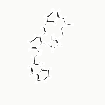 CC(CCc1nnn[nH]1)Cc1cccc(/C=C/c2cccc(OCc3ccc4ccccc4n3)c2)c1